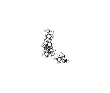 COc1cc(CCC[Si](C)(C)O[Si](O[Si](C)(C)CCCc2ccc(O)c(OC)c2)(c2ccccc2)c2ccccc2)ccc1C